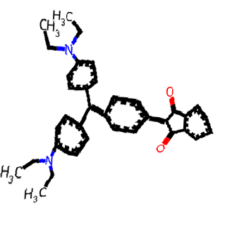 CCN(CC)c1ccc(C(c2ccc(N(CC)CC)cc2)=c2ccc(=C3C(=O)c4ccccc4C3=O)cc2)cc1